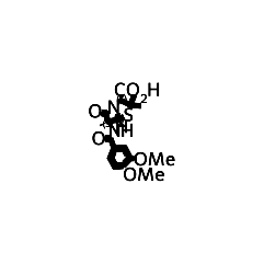 COc1ccc(C(=O)N[C@@]2(C)C(=O)N3[C@@H](C(=O)O)C(C)(C)S[C@@H]32)cc1OC